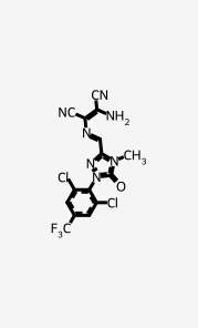 Cn1c(C=NC(C#N)=C(N)C#N)nn(-c2c(Cl)cc(C(F)(F)F)cc2Cl)c1=O